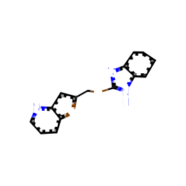 c1ccc2[nH]c(SCc3cc4ncccc4s3)nc2c1